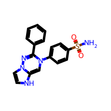 NS(=O)(=O)c1ccc(N2C=C3NC=CN3N=C2c2ccccc2)cc1